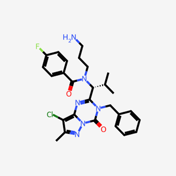 Cc1nn2c(=O)n(Cc3ccccc3)c([C@@H](C(C)C)N(CCCN)C(=O)c3ccc(F)cc3)nc2c1Cl